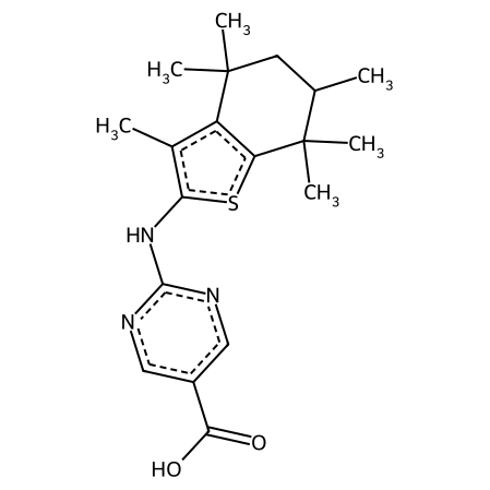 Cc1c(Nc2ncc(C(=O)O)cn2)sc2c1C(C)(C)CC(C)C2(C)C